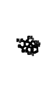 CCC1(c2ccccc2)C(C(=O)O)=C(C)N(C)C1(CC)C(=O)O